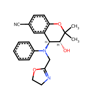 CC1(C)Oc2ccc(C#N)cc2[C@H](N(CC2=NCCO2)c2ccccc2)[C@H]1O